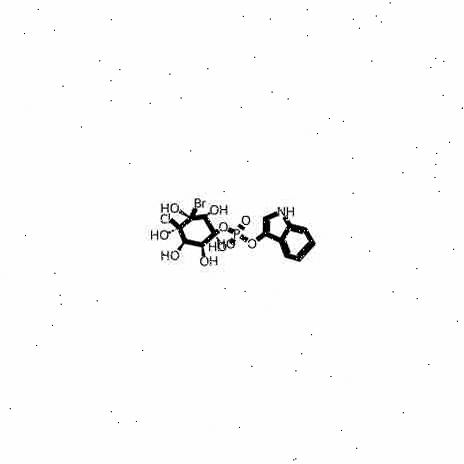 O=P(O)(Oc1c[nH]c2ccccc12)O[C@]1(O)[C@@H](O)[C@@](O)(Br)[C@](O)(Cl)[C@H](O)[C@@H]1O